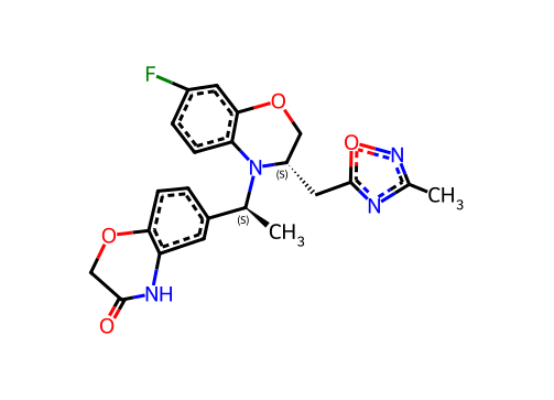 Cc1noc(C[C@H]2COc3cc(F)ccc3N2[C@@H](C)c2ccc3c(c2)NC(=O)CO3)n1